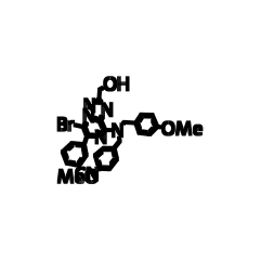 COc1ccc(CN(Cc2ccc(OC)cc2)c2nc(-c3cccc(C#N)c3)c(Br)n3nc(CO)nc23)cc1